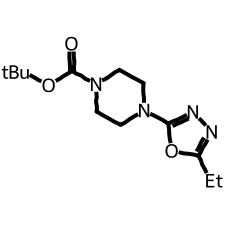 CCc1nnc(N2CCN(C(=O)OC(C)(C)C)CC2)o1